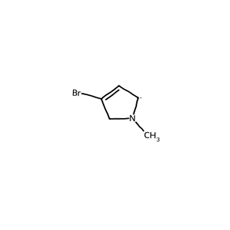 CN1[CH]C=C(Br)C1